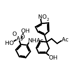 CC(=O)CCC1(c2ccc([N+](=O)[O-])cc2)C=CC=C(O)C1.CC(=O)Nc1ccccc1[As](=O)(O)OO